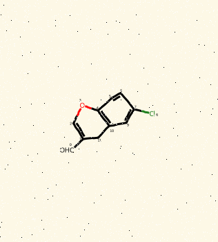 O=CC1=COc2ccc(Cl)cc2C1